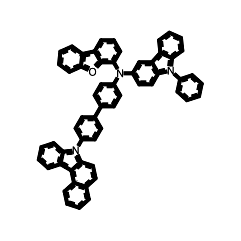 c1ccc(-n2c3ccccc3c3cc(N(c4ccc(-c5ccc(-n6c7ccccc7c7c8ccccc8ccc76)cc5)cc4)c4cccc5c4oc4ccccc45)ccc32)cc1